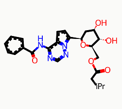 CC(C)CC(=O)OC[C@H]1O[C@@H](c2ccc3c(NC(=O)c4ccccc4)ncnn23)C[C@H](O)[C@@H]1O